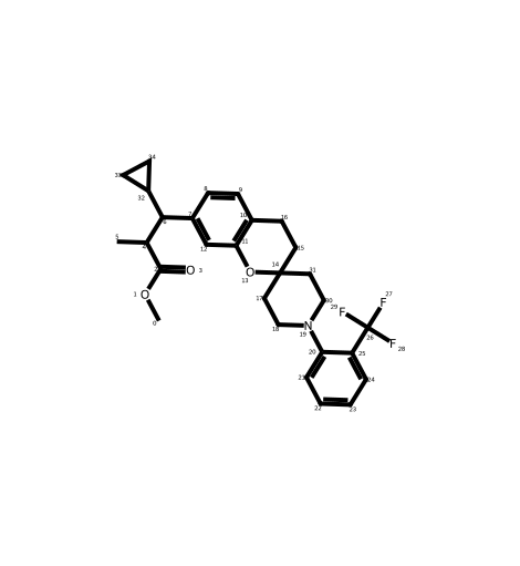 COC(=O)C(C)C(c1ccc2c(c1)OC1(CC2)CCN(c2ccccc2C(F)(F)F)CC1)C1CC1